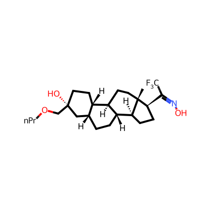 CCCOC[C@@]1(O)CC[C@H]2[C@H](CC[C@@H]3[C@@H]2CC[C@]2(C)[C@@H](/C(=N\O)C(F)(F)F)CC[C@@H]32)C1